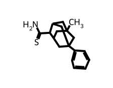 CC12CC3CC(c4ccccc4)(CC(C1)C3C(N)=S)C2